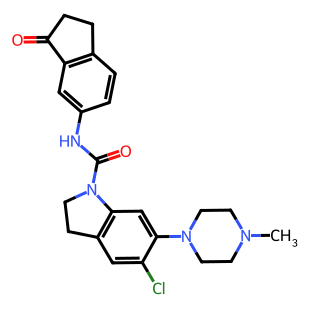 CN1CCN(c2cc3c(cc2Cl)CCN3C(=O)Nc2ccc3c(c2)C(=O)CC3)CC1